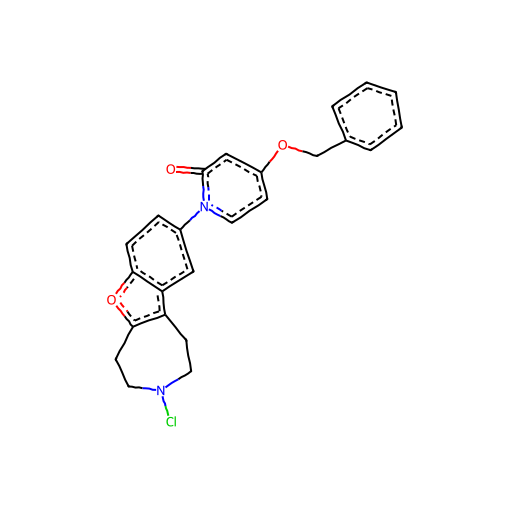 O=c1cc(OCc2ccccc2)ccn1-c1ccc2oc3c(c2c1)CCN(Cl)CC3